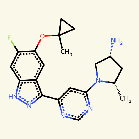 C[C@H]1C[C@@H](N)CN1c1cc(-c2n[nH]c3cc(F)c(OC4(C)CC4)cc23)ncn1